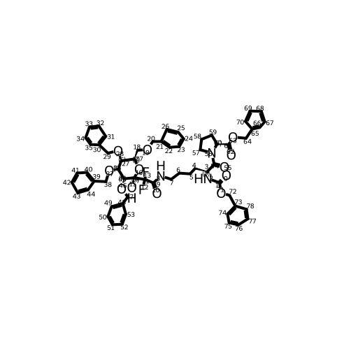 O=C(N[C@@H](CCCCNC(=O)C(F)(F)[C@]1(O)O[C@H](COCc2ccccc2)[C@H](OCc2ccccc2)[C@H](OCc2ccccc2)[C@H]1OCc1ccccc1)C(=O)N1CCC[C@H]1C(=O)OCc1ccccc1)OCc1ccccc1